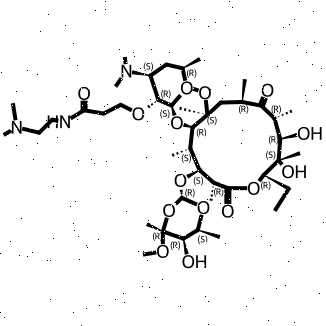 CC[C@H]1OC(=O)[C@H](C)[C@@H](O[C@@H]2O[C@@H](C)[C@@H](O)[C@](C)(OC)O2)[C@H](C)[C@@H](O[C@@H]2O[C@H](C)C[C@H](N(C)C)[C@H]2OCCC(=O)NCCN(C)C)[C@@](C)(OC)C[C@@H](C)C(=O)[C@H](C)[C@@H](O)[C@]1(C)O